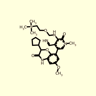 COc1cc2c(c(-c3cn(C)c(=O)c(NCOCCS(C)(C)C)c3C=N)c1)OC(C1CCCC1)C(=O)N2